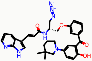 CC1(C)CCCN(c2ccc(O)c(C(=O)c3cccc(OC[C@@H](CN=[N+]=[N-])NC(=O)/C=C/c4c[nH]c5ncccc45)c3)c2)C1